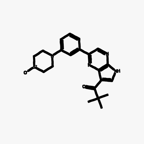 CC(C)(C)C(=O)c1c[nH]c2ncc(-c3cccc(N4CC[S+]([O-])CC4)c3)nc12